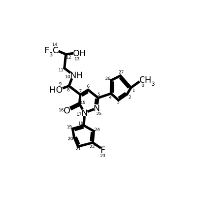 Cc1ccc(-c2cc(C(O)NCC(O)C(F)(F)F)c(=O)n(-c3cccc(F)c3)n2)cc1